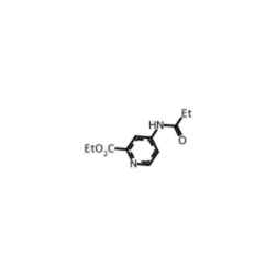 [CH2]CC(=O)Nc1ccnc(C(=O)OCC)c1